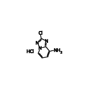 Cl.Nc1cccn2nc(Cl)nc12